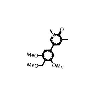 COCc1c(OC)cc(-c2cc(C)c(=O)n(C)c2)cc1OC